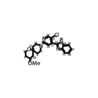 COC1CCOC2(CCN(c3cc(-c4nc5ccccc5n4C)c(Cl)cn3)CC2)C1